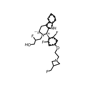 C[C@@H]1Cc2c([nH]c3ccccc23)[C@@H](c2c(F)cc(OCCN3CC(CF)C3)cc2F)N1CC(F)CO